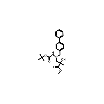 COC(=O)C(C)(O)CN(Cc1ccc(-c2ccccc2)cc1)NC(=O)OC(C)(C)C